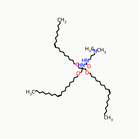 CCCCCCCC/C=C\CCCCCCCCOCC(COCCCCCCCC/C=C\CCCCCCCC)(COCCCCCCCC/C=C\CCCCCCCC)NC(=O)NCCCN(C)C